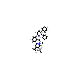 C=CC1C(C2c3ccccc3-c3c(-c4ccccc4)ccc[n+]32)c2ccccc2-c2cc(C(C)C)c([Si](C)(C)C)c[n+]21